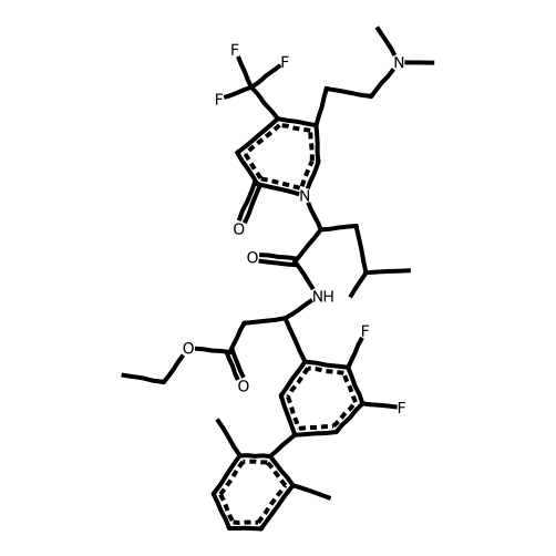 CCOC(=O)CC(NC(=O)C(CC(C)C)n1cc(CCN(C)C)c(C(F)(F)F)cc1=O)c1cc(-c2c(C)cccc2C)cc(F)c1F